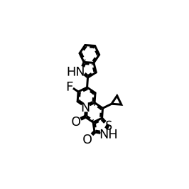 O=c1[nH]sc2c(C3CC3)c3cc(-c4cc5ccccc5[nH]4)c(F)cn3c(=O)c12